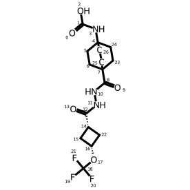 O=C(O)NC12CCC(C(=O)NNC(=O)[C@H]3C[C@@H](OC(F)(F)F)C3)(CC1)CC2